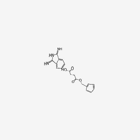 N=C1NC(=N)c2ccccc21.O=C(O)CCC(=O)OCc1ccccc1